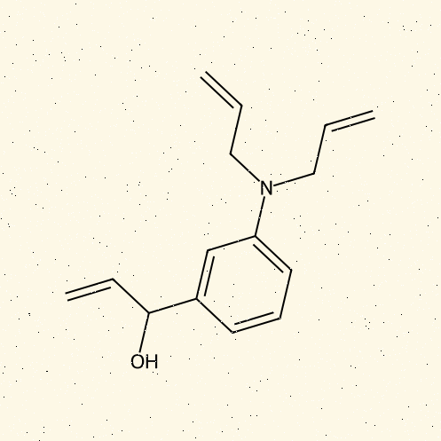 C=CCN(CC=C)c1cccc(C(O)C=C)c1